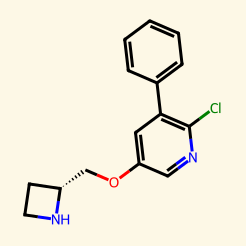 Clc1ncc(OC[C@H]2CCN2)cc1-c1ccccc1